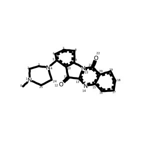 CN1CCN(c2cccc3c2C(=O)c2nc4ccccc4c(=O)n2-3)CC1